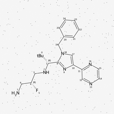 CC(C)(C)[C@@H](NC[C@H](F)CN)c1nc(-c2cnccn2)cn1Cc1ccccc1